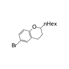 CCCCCCC1CCc2cc(Br)ccc2O1